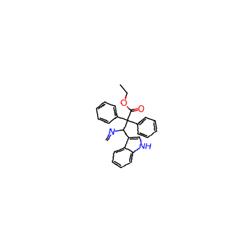 C=NC(c1c[nH]c2ccccc12)C(C(=O)OCC)(c1ccccc1)c1ccccc1